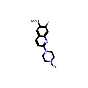 COc1cc2ccc(N3CCN(C(C)C)CC3)nc2cc1F